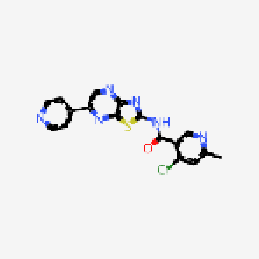 Cc1cc(Cl)c(C(=O)Nc2nc3ncc(-c4ccncc4)nc3s2)cn1